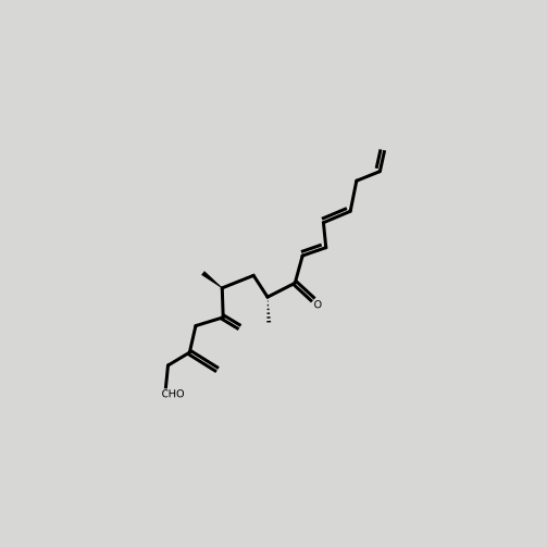 C=CC/C=C/C=C/C(=O)[C@H](C)C[C@H](C)C(=C)CC(=C)CC=O